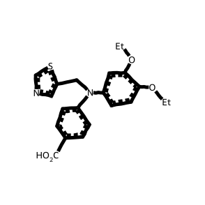 CCOc1ccc(N(Cc2cncs2)c2ccc(C(=O)O)cc2)cc1OCC